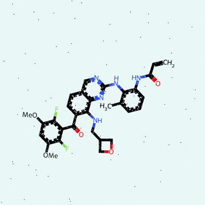 C=CC(=O)Nc1cccc(C)c1Nc1ncc2ccc(C(=O)c3c(F)c(OC)cc(OC)c3F)c(NCC3COC3)c2n1